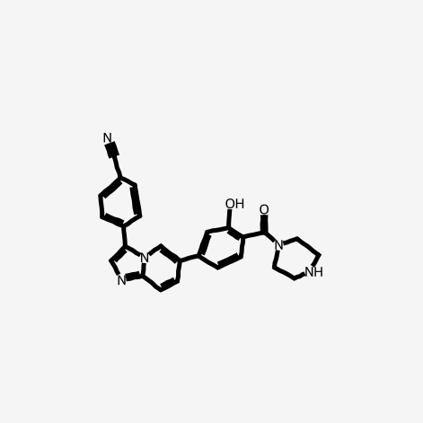 N#Cc1ccc(-c2cnc3ccc(-c4ccc(C(=O)N5CCNCC5)c(O)c4)cn23)cc1